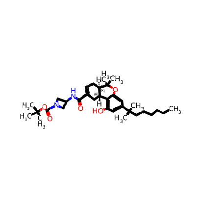 CCCCCCC(C)(C)c1cc(O)c2c(c1)OC(C)(C)[C@@H]1CC=C(C(=O)NC3CN(C(=O)OC(C)(C)C)C3)C[C@@H]21